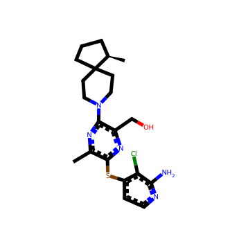 Cc1nc(N2CCC3(CCC[C@H]3C)CC2)c(CO)nc1Sc1ccnc(N)c1Cl